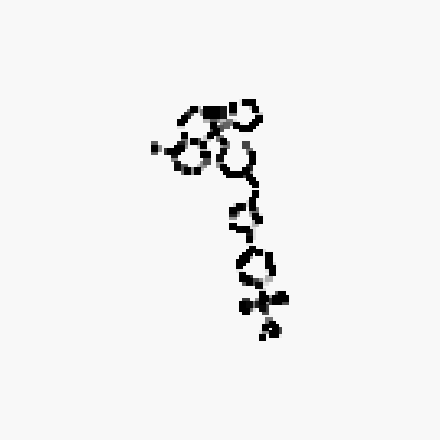 O=S(=O)(c1ccc(-n2ccc(CN3CCC(C4(C5CCCC5)NCCc5c(F)cccc54)CC3)c2)cc1)C1CC1